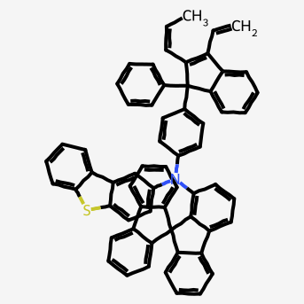 C=CC1=C(/C=C\C)C(c2ccccc2)(c2ccc(N(c3ccc4sc5ccccc5c4c3)c3cccc4c3C3(c5ccccc5-c5ccccc53)c3ccccc3-4)cc2)c2ccccc21